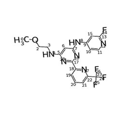 COCCNc1cc(Nc2ccnc(F)c2)nc(-c2cccc(C(F)(F)F)n2)n1